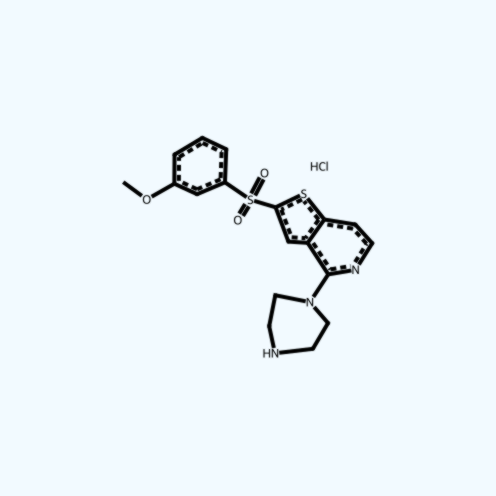 COc1cccc(S(=O)(=O)c2cc3c(N4CCNCC4)nccc3s2)c1.Cl